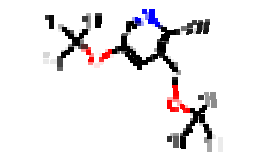 [2H]C([2H])([2H])OCc1cc(OC([2H])([2H])[2H])cnc1C#N